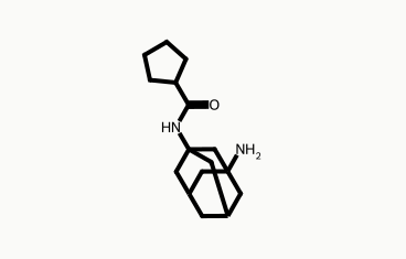 NC12CC3CC(C1)CC(NC(=O)C1CCCC1)(C3)C2